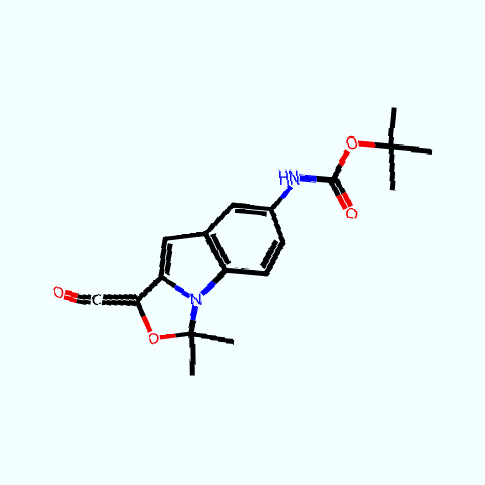 CC(C)(C)OC(=O)Nc1ccc2c(c1)cc1n2C(C)(C)OC1=C=O